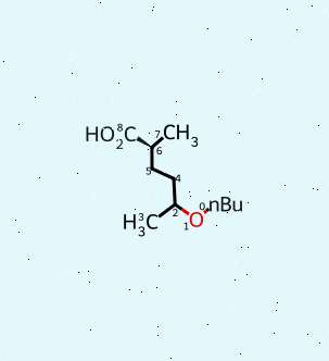 CCCCOC(C)CC[C@H](C)C(=O)O